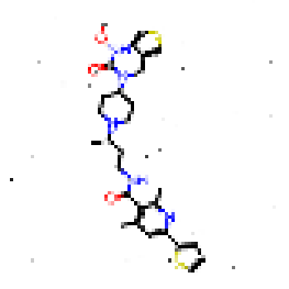 CONC(=O)N(Cc1ccsc1)C1CCN([C@H](C)CCNC(=O)c2c(C)cc(-c3cccs3)nc2C)CC1